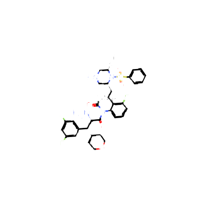 COC(=O)N(C(=O)[C@@H](N)[C@@H](c1cc(F)cc(F)c1)C1CCOCC1)c1cccc(F)c1CC[C@H]1CNC[C@@H](C)N1S(=O)(=O)c1ccccc1